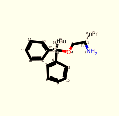 CCC[C@H](N)CO[Si](c1ccccc1)(c1ccccc1)C(C)(C)C